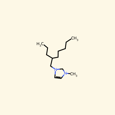 CCCCCC(CCC)CN1C=CN(C)C1